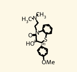 COc1ccc([C@H]2Sc3ccccc3N(CCN(C)C)C(=O)[C@@H]2O)cc1